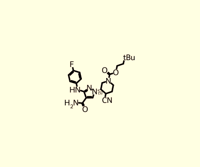 CC(C)(C)CCOC(=O)N1CCC(C#N)[C@H](n2cc(C(N)=O)c(Nc3ccc(F)cc3)n2)C1